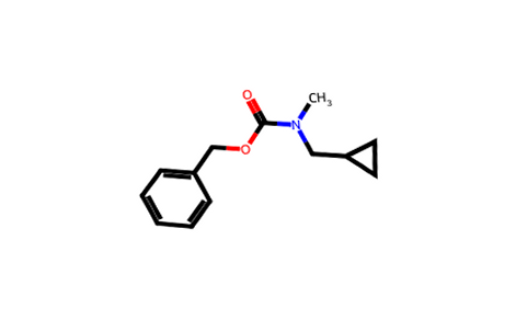 CN(CC1CC1)C(=O)OCc1ccccc1